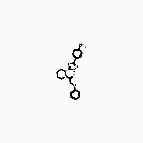 Nc1ccc(-c2noc([C@H]3CCCCN3C(=O)COc3ccccc3)n2)cc1